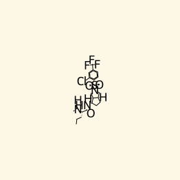 CCC[C@H](NC)C(=O)N[C@H]1CC[C@@H]2CN(S(=O)(=O)c3ccc(C(F)(F)F)cc3Cl)C[C@@H]21